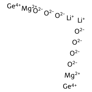 [Ge+4].[Ge+4].[Li+].[Li+].[Mg+2].[Mg+2].[O-2].[O-2].[O-2].[O-2].[O-2].[O-2].[O-2]